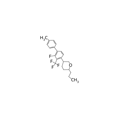 CCCC1CCC(c2ccc(-c3ccc(C)cc3)c(F)c2C(F)(F)F)CO1